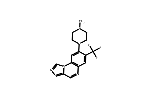 CN1CCN(c2cc3c(cc2C(F)(F)F)ncc2nncn23)CC1